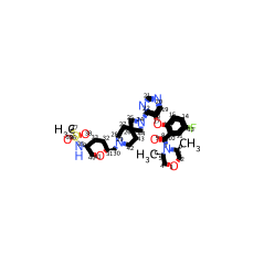 C[C@@H]1COC[C@H](C)N1C(=O)c1cc(F)ccc1Oc1cncnc1N1CC2(CCN(C[C@@H]3CC[C@@H](NS(C)(=O)=O)CO3)CC2)C1